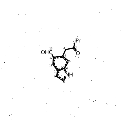 CC(C)C(=O)Cc1cc2[nH]ccc2cc1C=O